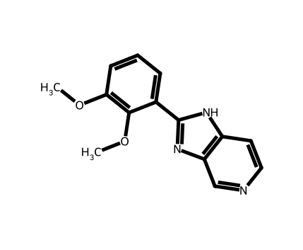 COc1cccc(-c2nc3cnccc3[nH]2)c1OC